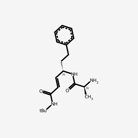 C[C@H](N)C(=O)N[C@H](C=CC(=O)NC(C)(C)C)CCc1ccccc1